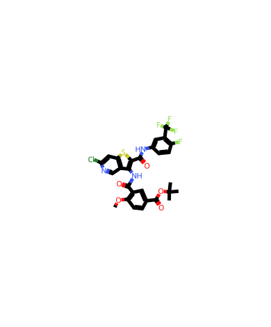 COc1ccc(C(=O)OC(C)(C)C)cc1C(=O)Nc1c(C(=O)Nc2ccc(F)c(C(F)(F)F)c2)sc2cc(Cl)ncc12